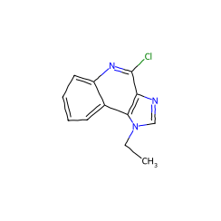 CCn1cnc2c(Cl)nc3ccccc3c21